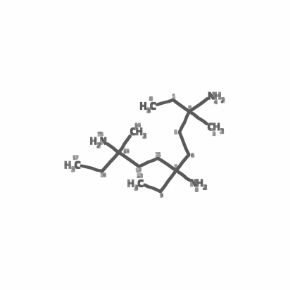 CCC(C)(N)CCC(N)(CC)CCC(C)(N)CC